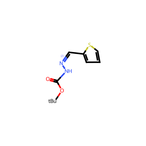 CC(C)(C)OC(=O)N/N=C\c1cccs1